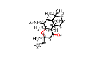 C=C[C@@]1(C)CC(=O)[C@@H]2[C@@]3(C)CCCC(C)(C)C3=CC(NC(C)=O)[C@@]2(C)O1